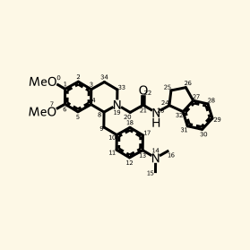 COc1cc2c(cc1OC)C(Cc1ccc(N(C)C)cc1)N(CC(=O)NC1CCc3ccccc31)CC2